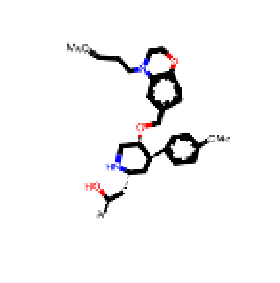 COCCCN1CCOc2ccc(CO[C@H]3CN[C@@H](C[C@H](O)C(C)C)C[C@@H]3c3ccc(OC)cc3)cc21